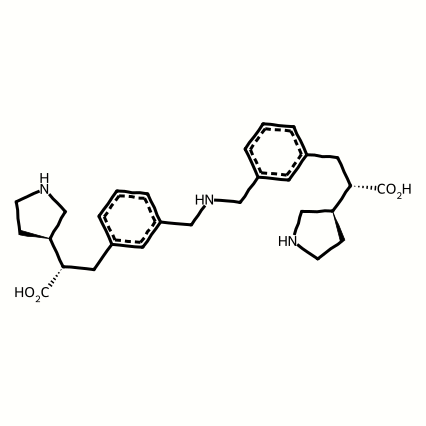 O=C(O)[C@@H](Cc1cccc(CNCc2cccc(C[C@H](C(=O)O)[C@H]3CCNC3)c2)c1)[C@H]1CCNC1